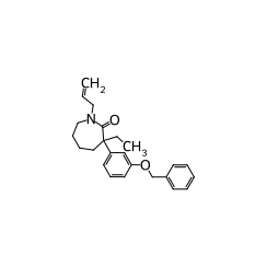 C=CCN1CCCCC(CC)(c2cccc(OCc3ccccc3)c2)C1=O